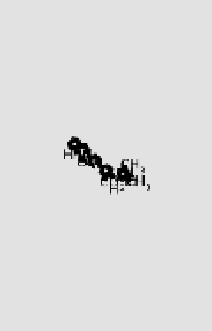 CCOC(=O)c1cc(N2CCC(N3CCc4ccccc4NC3=O)CC2)ccc1Nc1cc(C)nc(C)c1